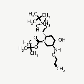 C=CCON[C@H]1CN(C(=O)OC(C)(C)C)[C@H](CO[Si](C)(C)C(C)(C)C)C[C@@H]1O